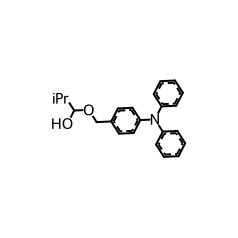 CC(C)C(O)OCc1ccc(N(c2ccccc2)c2ccccc2)cc1